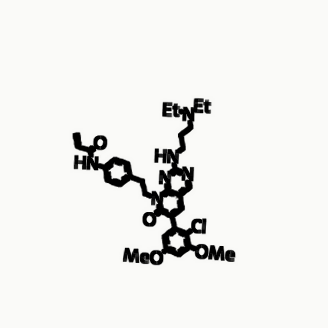 C=CC(=O)Nc1ccc(CCn2c(=O)c(-c3cc(OC)cc(OC)c3Cl)cc3cnc(NCCCN(CC)CC)nc32)cc1